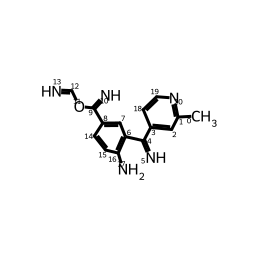 Cc1cc(C(=N)c2cc(C(=N)OC=N)ccc2N)ccn1